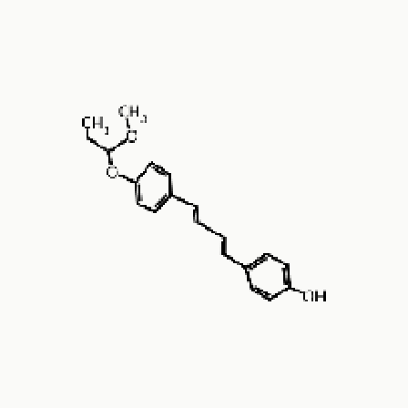 CCC(OC)Oc1ccc(C=CC=Cc2ccc(O)cc2)cc1